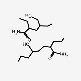 CCC(CO)CC(CC)C(N)=O.CCCC(O)CCC(CCC)C(N)=O